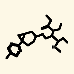 CCC(=O)N(CC)C(COC1CCC2(c3ncc(C)cn3)CC2C1)C(CC)NC